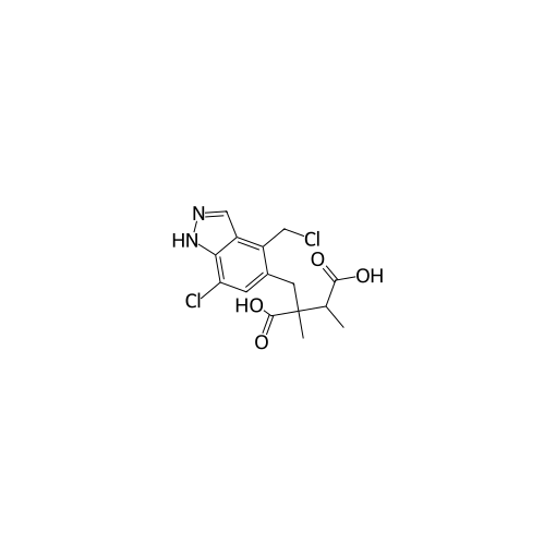 CC(C(=O)O)C(C)(Cc1cc(Cl)c2[nH]ncc2c1CCl)C(=O)O